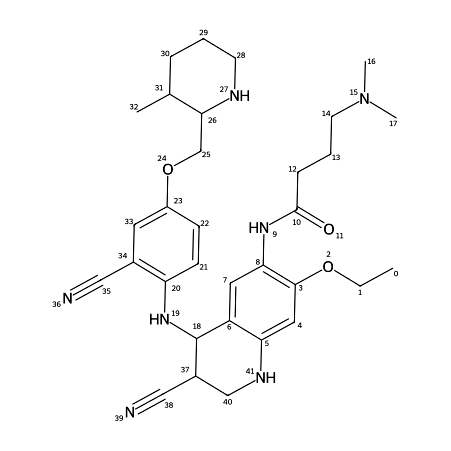 CCOc1cc2c(cc1NC(=O)CCCN(C)C)C(Nc1ccc(OCC3NCCCC3C)cc1C#N)C(C#N)CN2